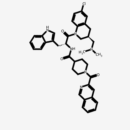 CN(C)C[C@@H]1Cc2cc(Cl)ccc2N(C(=O)[C@@H](Cc2c[nH]c3ccccc23)NC(=O)C2CCN(C(=O)c3cc4ccccc4cn3)CC2)C1